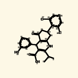 CC(C)C1=C(C(=O)O)C(c2cccc(O)c2)C2=C(CC(c3c(Cl)cncc3Cl)CC2=O)N1